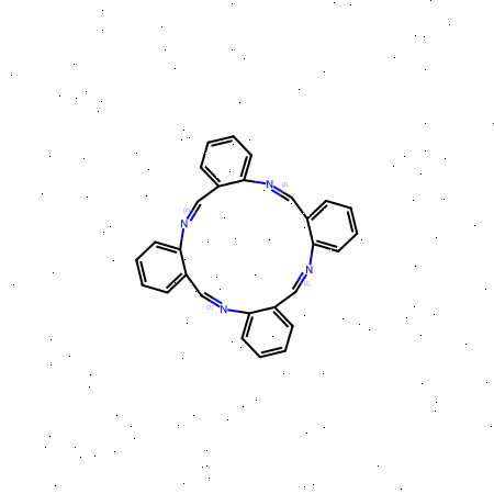 C1=N\c2ccccc2/C=N\c2ccccc2/C=N\c2ccccc2/C=N\c2ccccc2/1